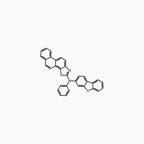 c1ccc(N(c2ccc3c(c2)sc2ccccc23)c2nc3ccc4c5ccccc5ccc4c3o2)cc1